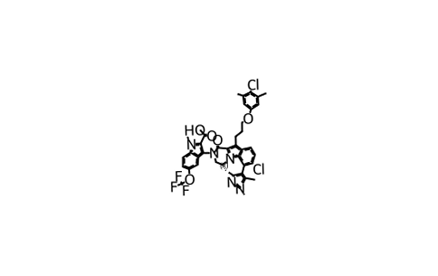 Cc1cc(OCCCc2c3n(c4c(-c5c(C)nn(C)c5C)c(Cl)ccc24)[C@H](C)CN(c2c(C(=O)O)n(C)c4ccc(OC(F)(F)F)cc24)C3=O)cc(C)c1Cl